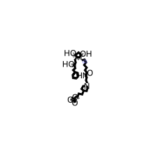 O=C(CCC/C=C\C[C@@H]1[C@@H](CC[C@@H](O)CCc2ccccc2)[C@H](O)C[C@@H]1O)NCCCN1CCC(CCCO[N+](=O)[O-])CC1